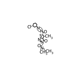 CCCN(CC)C(=O)Cn1cnc2sc(C(=O)N3CCN(c4cccc(Cl)c4)CC3)c(C)c2c1=O